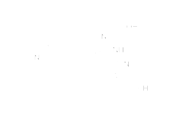 C#Cc1nc(NC(=O)N(CCO)Cc2ccc(-c3cccc4ncsc34)cc2)cs1